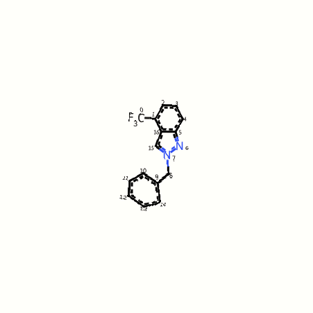 FC(F)(F)c1cccc2nn(Cc3ccccc3)cc12